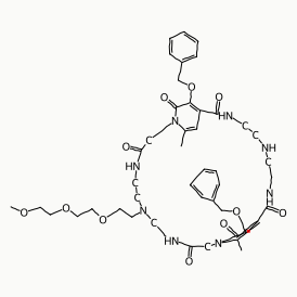 COCCOCCOCCN1CCNC(=O)Cn2c(C)cc(c(OCc3ccccc3)c2=O)C(=O)NCCNCCNC(=O)c2cc(C)n(c(=O)c2OCc2ccccc2)CC(=O)NCC1